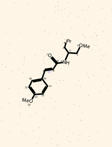 COCC(CC(C)C)NC(=O)/C=C/c1ccc(OC)cc1